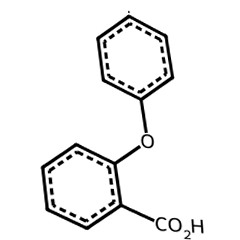 O=C(O)c1ccccc1Oc1cc[c]cc1